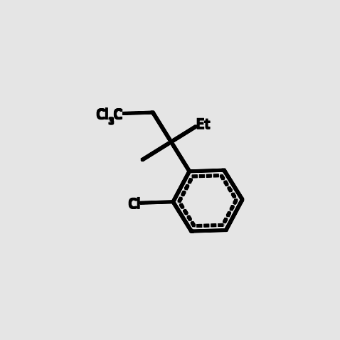 CCC(C)(CC(Cl)(Cl)Cl)c1ccccc1Cl